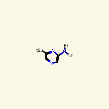 CCN(CC)c1cncc(C(C)(C)C)n1